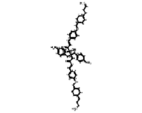 CCCCC1CCC(COc2ccc(C=CC(=O)CC(Cc3ccc(N)cc3)(Cc3ccc(N)cc3)C(O)(O)C(=O)C=Cc3ccc(OCC4CCC(CCCC)CC4)cc3)cc2)CC1